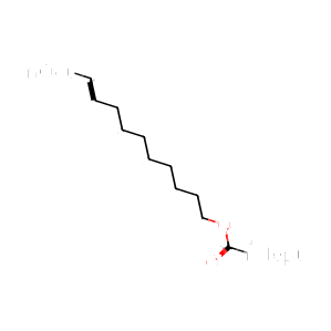 CCCCCCCCC=CCCCCCCCCOC(=O)CCCCCCC